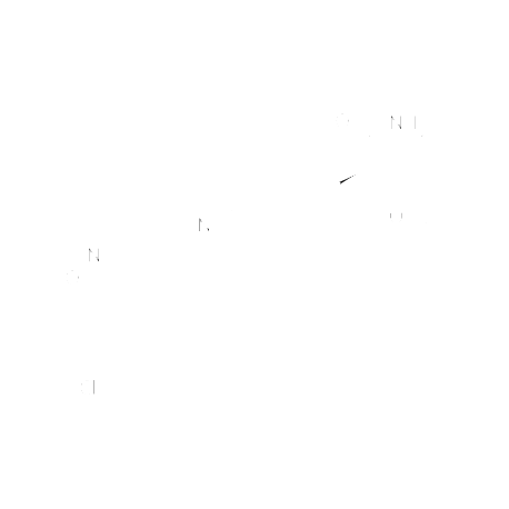 NC(=O)[C@H](C1CCC(CCN2CCC(c3noc4cc(Cl)ccc34)CC2)CC1)C1CCCO1